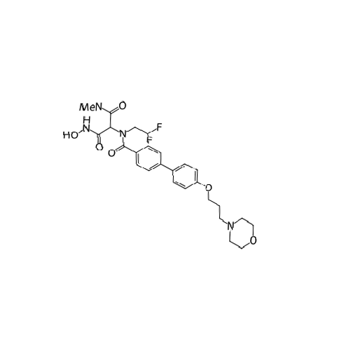 CNC(=O)C(C(=O)NO)N(CC(F)F)C(=O)c1ccc(-c2ccc(OCCCN3CCOCC3)cc2)cc1